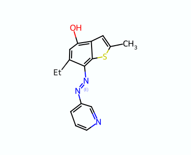 CCc1cc(O)c2cc(C)sc2c1/N=N/c1cccnc1